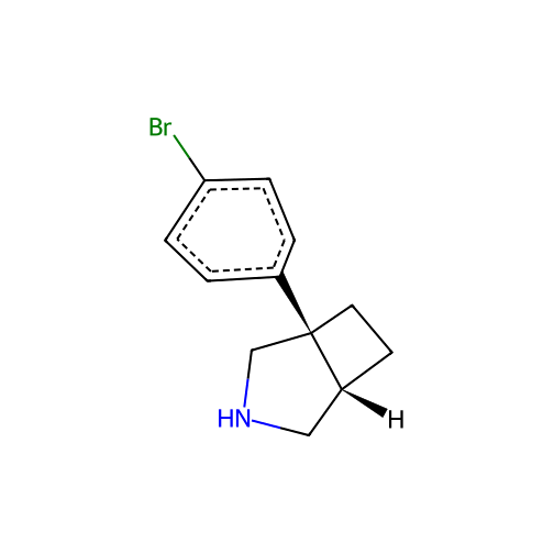 Brc1ccc([C@@]23CC[C@@H]2CNC3)cc1